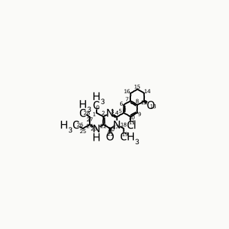 CCc1nc(-c2cc3c(cc2Cl)C(=O)CCC3)n(CC)c(=O)c1NC(CC)CC